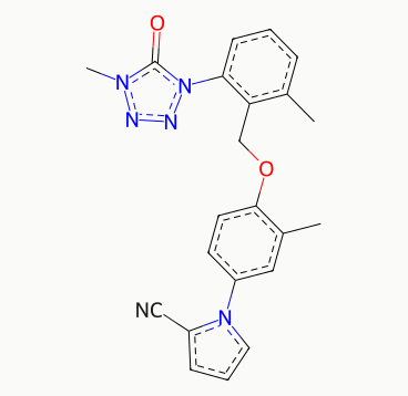 Cc1cc(-n2cccc2C#N)ccc1OCc1c(C)cccc1-n1nnn(C)c1=O